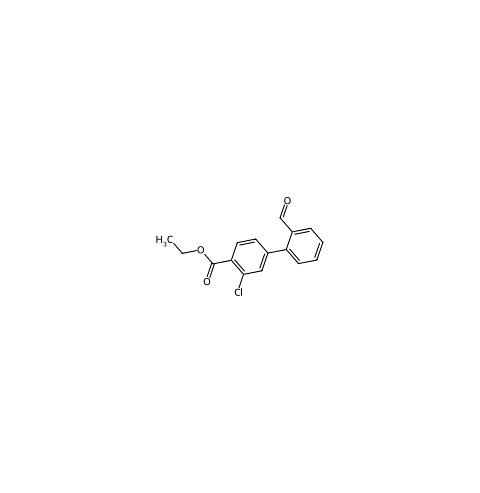 CCOC(=O)c1ccc(-c2ccccc2C=O)cc1Cl